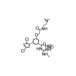 CN(C)CCNC(=O)COc1cc(C(=O)NC(=N)N)cc(-c2cc(Cl)sc2Cl)c1.Cl.Cl